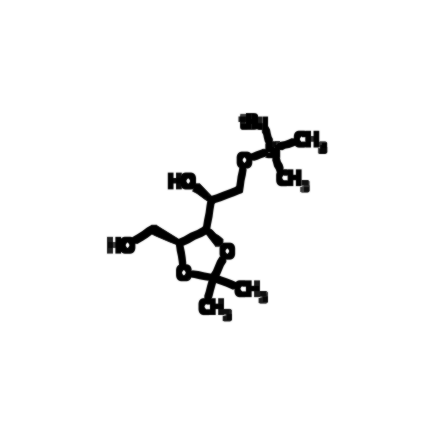 CC1(C)O[C@H]([C@@H](O)CO[Si](C)(C)C(C)(C)C)[C@H](CO)O1